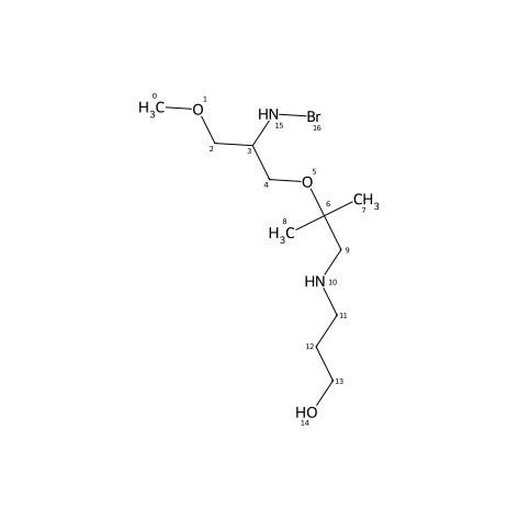 COCC(COC(C)(C)CNCCCO)NBr